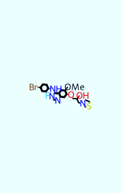 COc1cc2c(Nc3ccc(Br)cc3F)ncnc2cc1OCC(O)CN1CCSC1